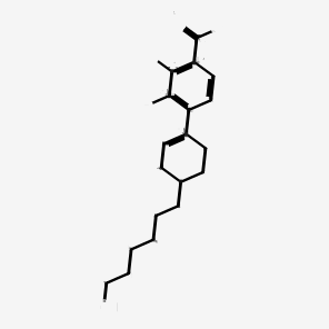 CCCCCCCC1CC=C(c2ccc(C(=O)O)c(F)c2F)CC1